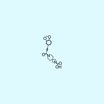 O=C(O)N1CC2(CCN(C(=O)C#Cc3ccc4c(c3)OCO4)CC2)C1